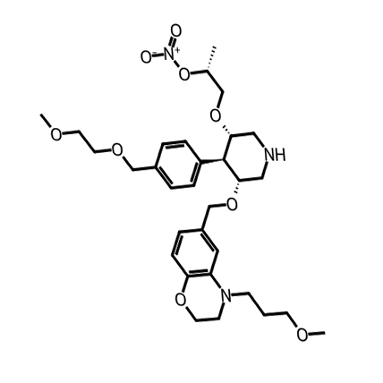 COCCCN1CCOc2ccc(CO[C@H]3CNC[C@@H](OC[C@@H](C)O[N+](=O)[O-])[C@@H]3c3ccc(COCCOC)cc3)cc21